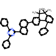 CC1(C)c2cc(-c3cccc4c(-c5nc(-c6ccccc6)nc(-c6ccccc6)n5)cccc34)ccc2-c2c(-c3ccccc3)cccc2C1(C)C